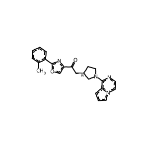 Cc1ccccc1-c1nc(C(=O)C[C@H]2CCN(c3nccn4cccc34)C2)co1